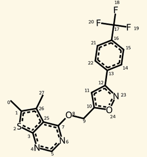 Cc1sc2ncnc(OCc3cc(-c4ccc(C(F)(F)F)cc4)no3)c2c1C